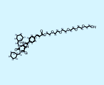 O=C(/C=C/c1ccc(-c2nc3c(=O)n(CC4CCCCC4)c(=O)n(CC4CCCCC4)c3[nH]2)cc1)OCCOCCOCCOCCOCCOCCO